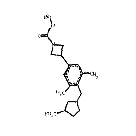 Cc1cc(C2CN(C(=O)OC(C)(C)C)C2)cc(C)c1CN1CC[C@@H](C(=O)O)C1